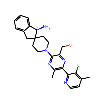 Cc1ccnc(-c2nc(CO)c(N3CCC4(CC3)Cc3ccccc3[C@H]4N)nc2C)c1Cl